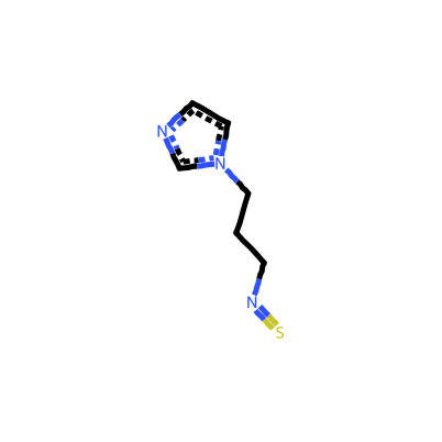 S=NCCCn1ccnc1